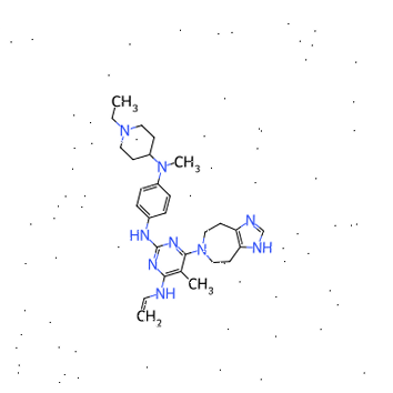 C=CNc1nc(Nc2ccc(N(C)C3CCN(CC)CC3)cc2)nc(N2CCc3nc[nH]c3CC2)c1C